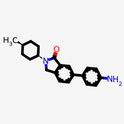 C[C@H]1CC[C@H](N2Cc3ccc(-c4ccc(N)cc4)cc3C2=O)CC1